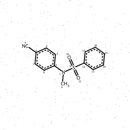 CN(c1ccc(C#N)cc1)S(=O)(=O)c1ccccc1